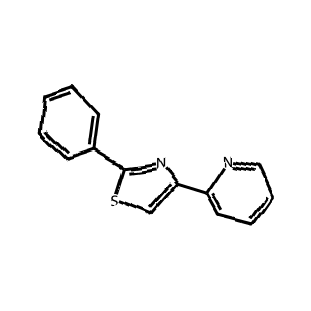 c1ccc(-c2nc(-c3ccccn3)cs2)cc1